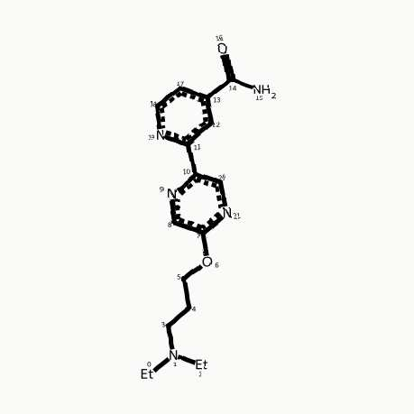 CCN(CC)CCCOc1cnc(-c2cc(C(N)=O)ccn2)cn1